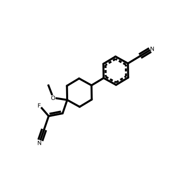 COC1(C=C(F)C#N)CCC(c2ccc(C#N)cc2)CC1